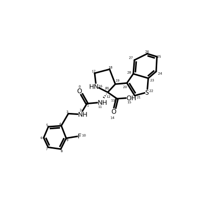 O=C(NCc1ccccc1F)N[C@]1(C(=O)O)NCCC1c1csc2ccccc12